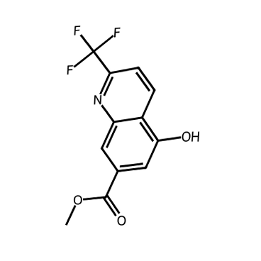 COC(=O)c1cc(O)c2ccc(C(F)(F)F)nc2c1